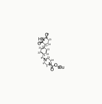 CC(C)(C)OC(=O)N1CCN(Cc2ccc(C3CCC(=O)NC3=O)cc2)CC1